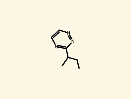 CCC(C)c1nccnn1